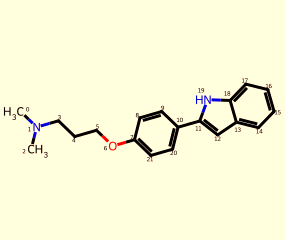 CN(C)CCCOc1ccc(-c2cc3ccccc3[nH]2)cc1